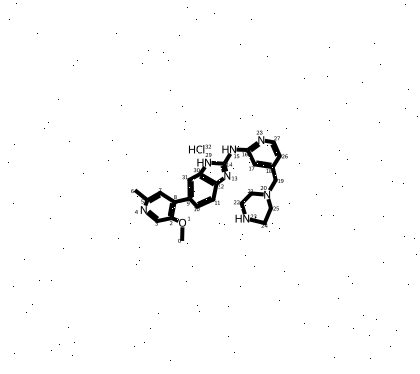 COc1cnc(C)cc1-c1ccc2nc(Nc3cc(CN4CCNCC4)ccn3)[nH]c2c1.Cl